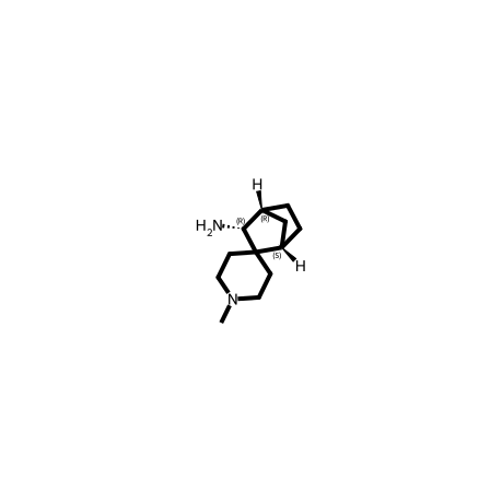 CN1CCC2(CC1)[C@H]1CC[C@H](C1)[C@H]2N